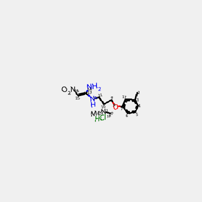 CNC.Cc1cccc(OCCCNC(N)=C[N+](=O)[O-])c1.Cl